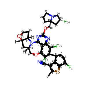 Cc1sc2c(F)ccc(-c3c(Cl)c4c5c(nc(OC[C@@]67CCCN6C[C@H](F)C7)nc5c3F)N3[C@H](CO4)C[C@@H]4OCC[C@@H]43)c2c1C#N